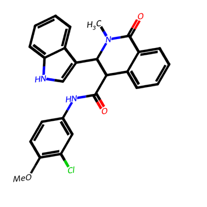 COc1ccc(NC(=O)C2c3ccccc3C(=O)N(C)C2c2c[nH]c3ccccc23)cc1Cl